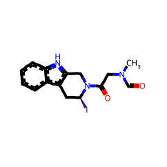 CN(C=O)CC(=O)N1Cc2[nH]c3ccccc3c2C[C@@H]1I